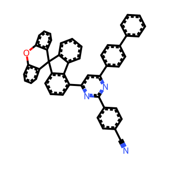 N#Cc1ccc(-c2nc(-c3ccc(-c4ccccc4)cc3)cc(-c3cccc4c3-c3ccccc3C43c4ccccc4Oc4ccccc43)n2)cc1